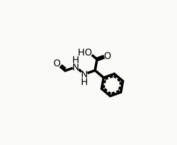 O=CNNC(C(=O)O)c1ccccc1